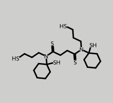 S=C(CCC(=S)N(CCCS)C1(S)CCCCC1)N(CCCS)C1(S)CCCCC1